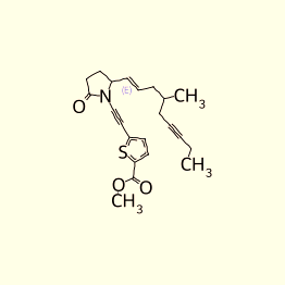 CCC#CCC(C)C/C=C/C1CCC(=O)N1C#Cc1ccc(C(=O)OC)s1